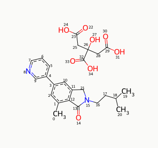 Cc1cc(-c2cccnc2)cc2c1C(=O)N(CCC(C)C)C2.O=C(O)CC(O)(CC(=O)O)C(=O)O